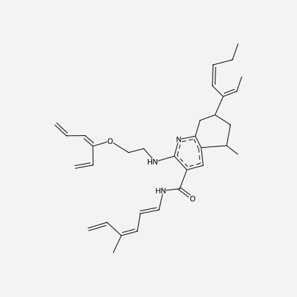 C=C/C=C(\C=C)OCCNc1nc2c(cc1C(=O)N/C=C/C=C(/C)C=C)C(C)CC(C(/C=C\CC)=C/C)C2